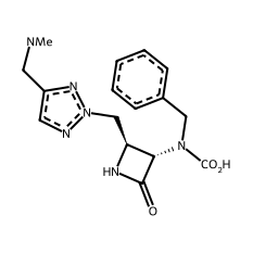 CNCc1cnn(C[C@@H]2NC(=O)[C@H]2N(Cc2ccccc2)C(=O)O)n1